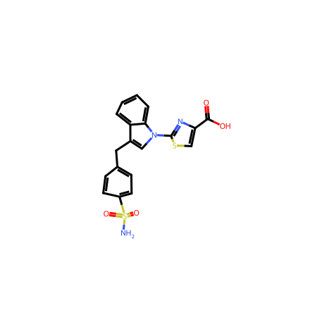 NS(=O)(=O)c1ccc(Cc2cn(-c3nc(C(=O)O)cs3)c3ccccc23)cc1